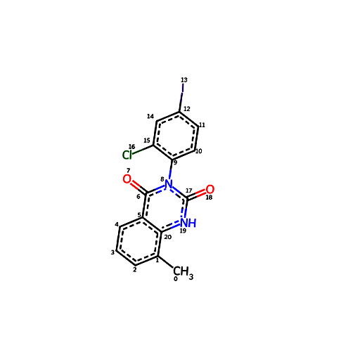 Cc1cccc2c(=O)n(-c3ccc(I)cc3Cl)c(=O)[nH]c12